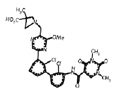 COc1nc(-c2cccc(-c3cccc(NC(=O)c4cn(C)c(=O)n(C)c4=O)c3Cl)c2Cl)cnc1CN1CC(C)(C(=O)O)C1